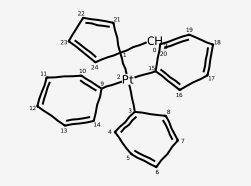 C[C]1([Pt]([c]2ccccc2)([c]2ccccc2)[c]2ccccc2)C=CC=C1